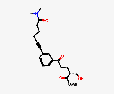 COC(=O)[C@H](CO)CCC(=O)c1cccc(C#CCCCC(=O)N(C)C)c1